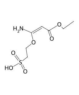 CCOC(=O)C=C(N)OCCS(=O)(=O)O